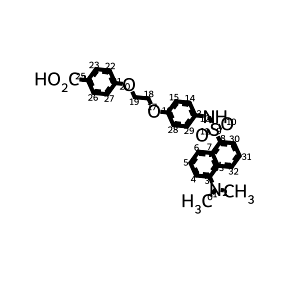 CN(C)c1cccc2c(S(=O)(=O)Nc3ccc(OCCOc4ccc(C(=O)O)cc4)cc3)cccc12